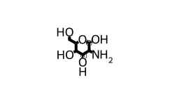 NC1[C@@H](O)C(O)C(CO)O[C@H]1O